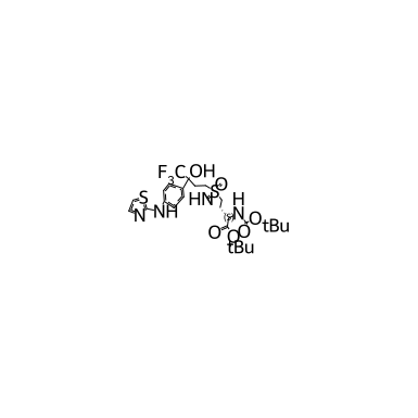 CC(C)(C)OC(=O)N[C@@H](CCS(=N)(=O)CCC(O)(c1ccc(Nc2nccs2)cc1)C(F)(F)F)C(=O)OC(C)(C)C